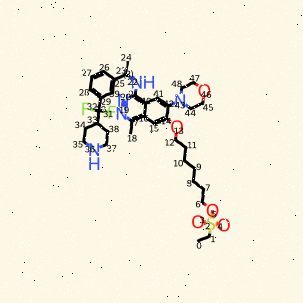 CCS(=O)(=O)OCCCCCCCOc1cc2c(C)nnc(N[C@H](C)c3cccc(C(F)(F)C4CCNCC4)c3)c2cc1N1CCOCC1